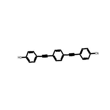 N#Cc1ccc(C#Cc2ccc(C#Cc3ccc(O)cc3)cc2)cc1